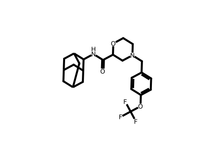 O=C(NC1C2CC3CC(C2)CC1C3)C1CN(Cc2ccc(OC(F)(F)F)cc2)CCO1